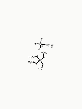 CC[N+](CC)(CC)CC.F[B-](F)(F)F.[F-].[H+]